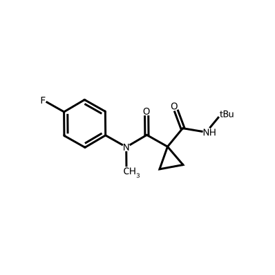 CN(C(=O)C1(C(=O)NC(C)(C)C)CC1)c1ccc(F)cc1